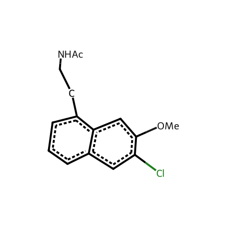 COc1cc2c(CCNC(C)=O)cccc2cc1Cl